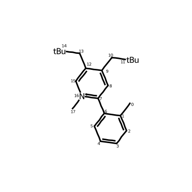 Cc1ccccc1-c1cc(CC(C)(C)C)c(CC(C)(C)C)c[n+]1C